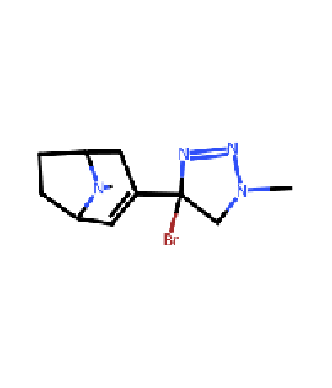 CN1CC(Br)(C2=CC3CCC(C2)N3C)N=N1